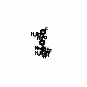 [2H]C([2H])([2H])C(n1nc(-c2ccc(NC(=O)c3cc(F)ccc3OC)cc2)c(C#N)c1N)C(F)(F)F